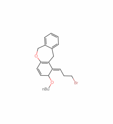 CCCCOC1C=CC2=C(Cc3ccccc3CO2)C1=CCCBr